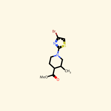 COC(=O)C1CCN(c2nc(Br)cs2)CC1C